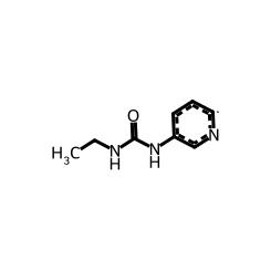 CCNC(=O)Nc1cc[c]nc1